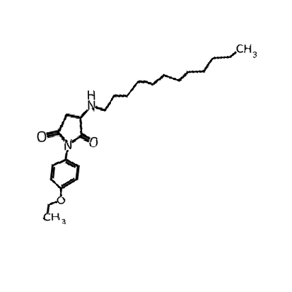 CCCCCCCCCCCCNC1CC(=O)N(c2ccc(OCC)cc2)C1=O